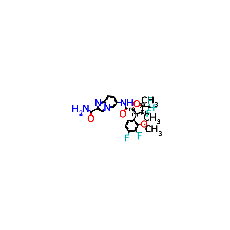 COc1c([C@H]2[C@H](C(=O)Nc3ccc4nc(C(N)=O)cn4c3)O[C@@](C)(C(F)(F)F)[C@H]2C)ccc(F)c1F